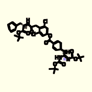 CC(C)(C)OC(=O)/N=C(/NC(=O)OC(C)(C)C)Nc1ccc(C(=O)Oc2cc(Cl)c(CC(=O)N[C@@H](Cc3ccccc3)C(=O)OC(C)(C)C)c(Cl)c2)cc1